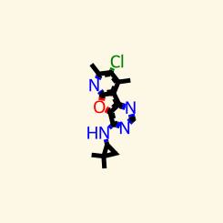 Cc1nc2oc3c(NC4CC4(C)C)ncnc3c2c(C)c1Cl